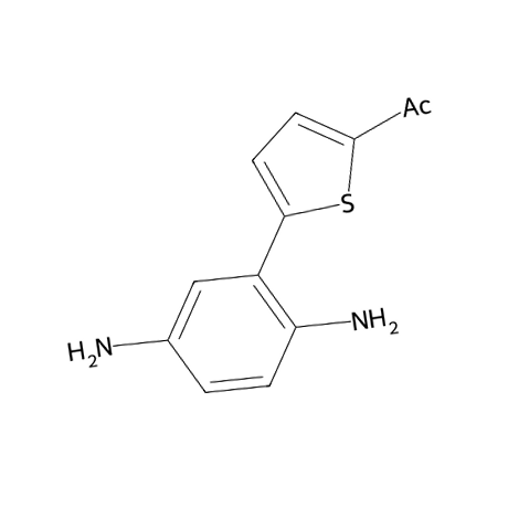 CC(=O)c1ccc(-c2cc(N)ccc2N)s1